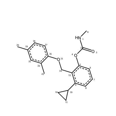 CNC(=O)Oc1cccc(C2CC2)c1COc1ccc(C)cc1C